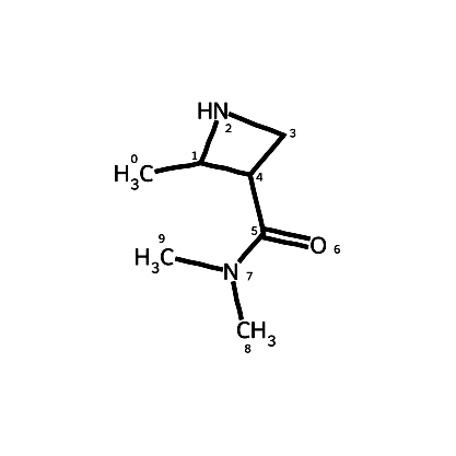 CC1NCC1C(=O)N(C)C